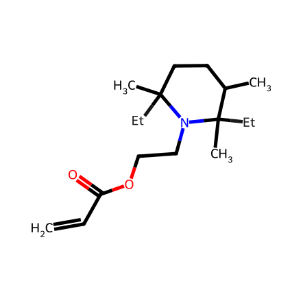 C=CC(=O)OCCN1C(C)(CC)CCC(C)C1(C)CC